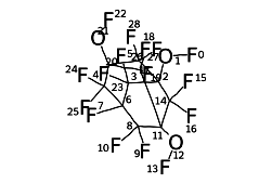 FOC12C(F)(F)C3(F)C(F)(F)C(OF)(C1(F)F)C(F)(F)C(OF)(C3(F)F)C2(F)F